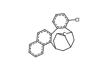 Clc1cccc2c1C1CC3CC(C1)CC(C3)c1c-2ccc2ccccc12